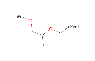 [CH2]CCOCC(C)OCCCCCC